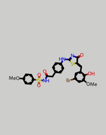 COc1ccc(S(=O)(=O)NC(=O)Cc2ccc(NC3=NC(=O)C(=Cc4cc(Br)cc(OC)c4O)S3)cc2)cc1